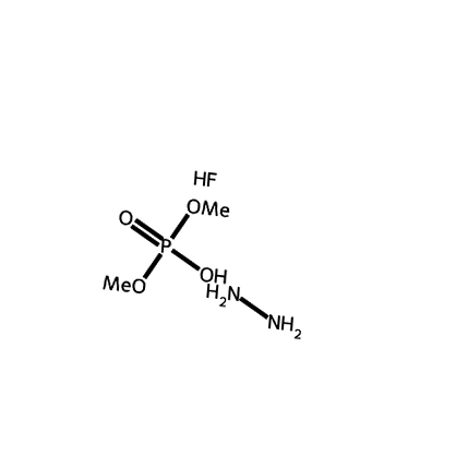 COP(=O)(O)OC.F.NN